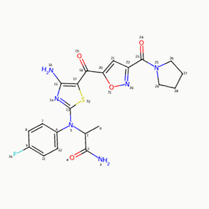 CC(C(N)=O)N(c1ccc(F)cc1)c1nc(N)c(C(=O)c2cc(C(=O)N3CCCC3)no2)s1